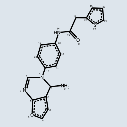 NC1c2ccoc2N=CN1c1ccc(NC(=O)Cc2cccs2)cc1